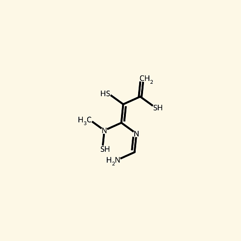 C=C(S)/C(S)=C(\N=C/N)N(C)S